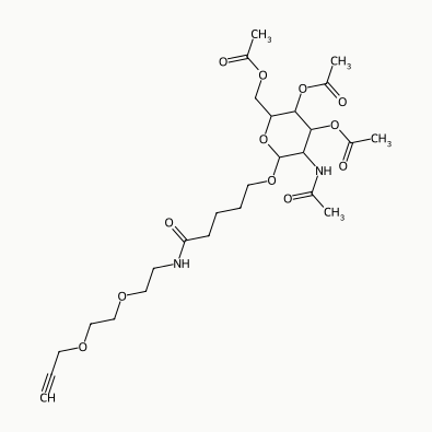 C#CCOCCOCCNC(=O)CCCCOC1OC(COC(C)=O)C(OC(C)=O)C(OC(C)=O)C1NC(C)=O